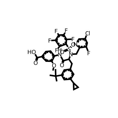 COc1cc(C(=O)O)ccc1NC(=O)C(Cc1cc(C2CC2)cc(C(C)(C)C)c1)N(Cc1ncc(Cl)cc1F)S(=O)(=O)c1c(F)c(F)c(F)c(F)c1F